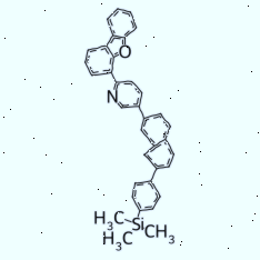 C[Si](C)(C)c1ccc(-c2ccc3ccc(-c4ccc(-c5cccc6c5oc5ccccc56)nc4)cc3c2)cc1